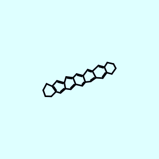 c1c2c(cc3cc4cc5cc6cc7c(cc6cc5cc4cc13)CCCC7)CCCC2